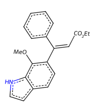 CCOC(=O)C=C(c1ccccc1)c1ccc2cc[nH]c2c1OC